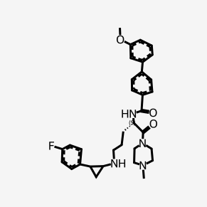 COc1cccc(-c2ccc(C(=O)N[C@@H](CCCNC3CC3c3ccc(F)cc3)C(=O)N3CCN(C)CC3)cc2)c1